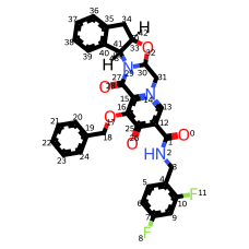 O=C(NCc1ccc(F)cc1F)c1cn2c(c(OCc3ccccc3)c1=O)C(=O)N1C(C2)O[C@@H]2Cc3ccccc3[C@H]21